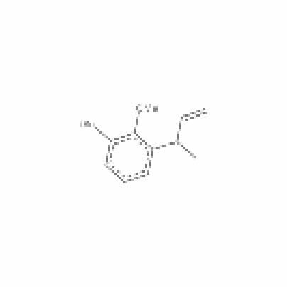 C=C[C](C)c1cccc(C(C)(C)C)c1OC